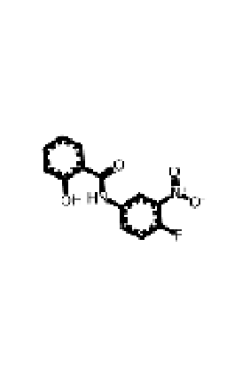 O=C(Nc1ccc(F)c([N+](=O)[O-])c1)c1ccccc1O